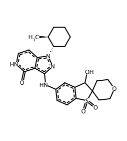 C[C@H]1CCCC[C@@H]1n1nc(Nc2ccc3c(c2)C(O)C2(CCOCC2)S3(=O)=O)c2c(=O)[nH]ccc21